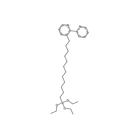 CCO[Si](CCCCCCCCCCCCc1cccnc1-c1ccccn1)(OCC)OCC